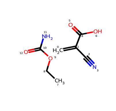 C=C(C#N)C(=O)O.CCOC(N)=O